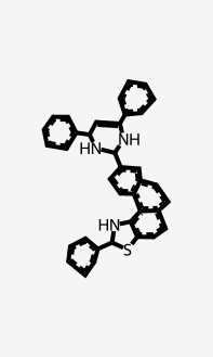 C1=C(c2ccccc2)NC(c2ccc3c(ccc4ccc5c(c43)NC(c3ccccc3)S5)c2)NC1c1ccccc1